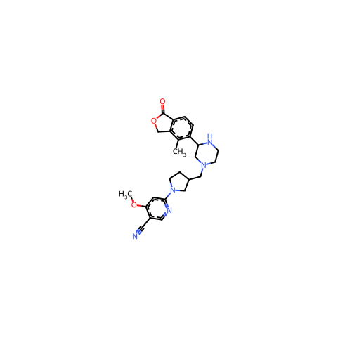 COc1cc(N2CCC(CN3CCNC(c4ccc5c(c4C)COC5=O)C3)C2)ncc1C#N